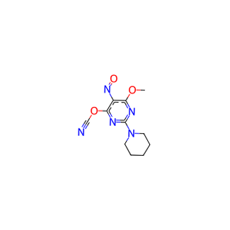 COc1nc(N2CCCCC2)nc(OC#N)c1N=O